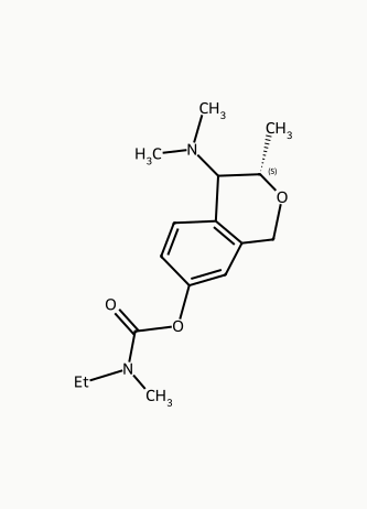 CCN(C)C(=O)Oc1ccc2c(c1)CO[C@@H](C)C2N(C)C